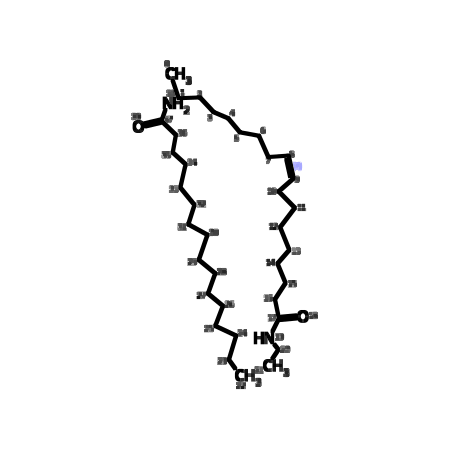 CCCCCCCC/C=C\CCCCCCCC(=O)NCC.CCCCCCCCCCCCCCCC(N)=O